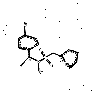 CCCN([C@@H](C)c1ccc(Br)cc1)S(=O)(=O)Cc1ccccc1